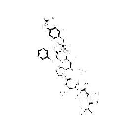 CCC(C)C([C@@H](CC(=O)N1CCC[C@H]1[C@H](OC)[C@@H](C)C(=O)N[C@@H](Cc1ccccc1)C(=O)NS(=O)(=O)Cc1ccc(NC(=O)C(F)(F)F)cc1)OC)N(C)C(=O)[C@@H](NC(=O)C(C(C)C)N(C)C)C(C)C